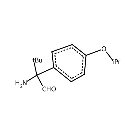 CC(C)Oc1ccc(C(N)(C=O)C(C)(C)C)cc1